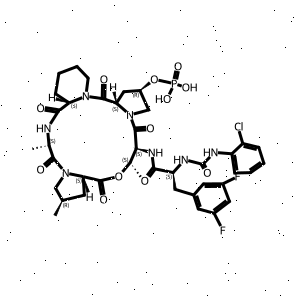 C[C@@H]1C[C@H]2C(=O)O[C@@H](C)[C@H](NC(=O)[C@H](Cc3cc(F)cc(F)c3)NC(=O)Nc3ccccc3Cl)C(=O)N3C[C@H](OP(=O)(O)O)C[C@H]3C(=O)N3CCCC[C@H]3C(=O)N[C@@H](C)C(=O)N2C1